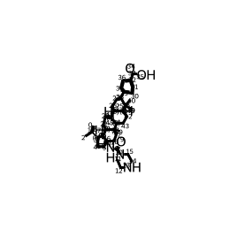 C=C(C)[C@@H]1CC[C@]2(NC(=O)N3CCNCC3)CC[C@]3(C)[C@H](CC[C@@H]4[C@@]5(C)CC=C(c6ccc(C(=O)O)cc6)C(C)(C)[C@@H]5CC[C@]43C)[C@@H]12